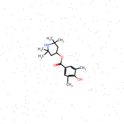 Cc1cc(C(=O)OC2CC(C)(C)NC(C)(C)C2)cc(C)c1O